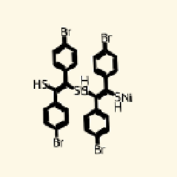 SC(=C(S)c1ccc(Br)cc1)c1ccc(Br)cc1.SC(=C(S)c1ccc(Br)cc1)c1ccc(Br)cc1.[Ni]